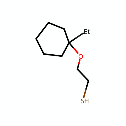 CCC1(OCCS)CCCCC1